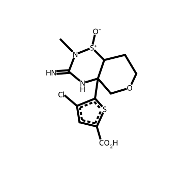 CN1C(=N)NC2(c3sc(C(=O)O)cc3Cl)COCCC2[S+]1[O-]